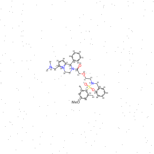 COc1cc(C)c(S(=O)(=O)N(CCOCC(=O)N2CCn3c(CN(C)C)ccc3C2c2ccccc2)Cc2ccccc2)c(C)c1